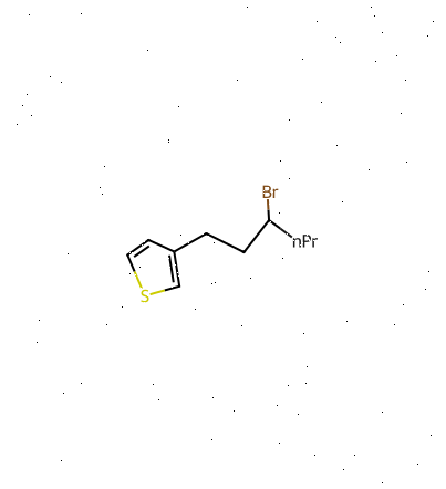 CCCC(Br)CCc1ccsc1